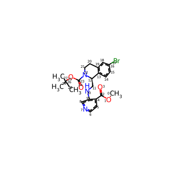 COC(=O)c1ccncc1NC[C@@H]1c2ccc(Br)cc2CCN1C(=O)OC(C)(C)C